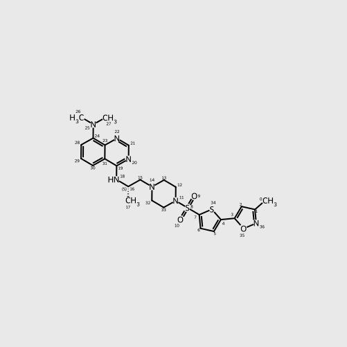 Cc1cc(-c2ccc(S(=O)(=O)N3CCN(C[C@H](C)Nc4ncnc5c(N(C)C)cccc45)CC3)s2)on1